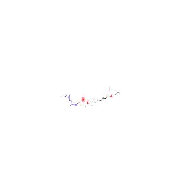 CCCCCCCCC(CCCCCC)COC(=O)CCCCCCCCC(CCCCCC)OC(=O)OCCN(CCC)CCN(CC)CC